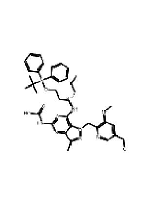 CCC[C@@H](CCO[Si](c1ccccc1)(c1ccccc1)C(C)(C)C)Nc1nc(NC(=O)O)nc2c(C)nn(Cc3ncc(CCl)cc3OC)c12